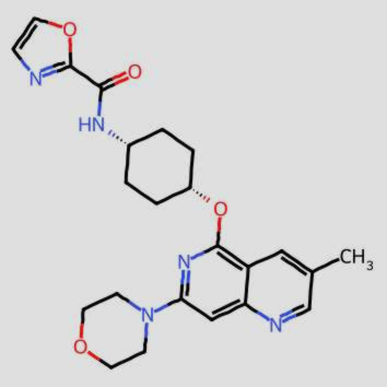 Cc1cnc2cc(N3CCOCC3)nc(O[C@H]3CC[C@@H](NC(=O)c4ncco4)CC3)c2c1